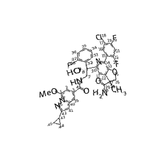 COc1cc(C(=O)NC[C@](O)(c2cc3c(c(-c4cc(Cl)c(F)cc4F)n2)OC[C@]3(C)C(N)=O)c2ccccc2F)cc2cc(C3CC3)nn12